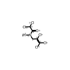 CC(C)N(CC(Cl)=C(Cl)Cl)C(=O)C(Cl)Cl